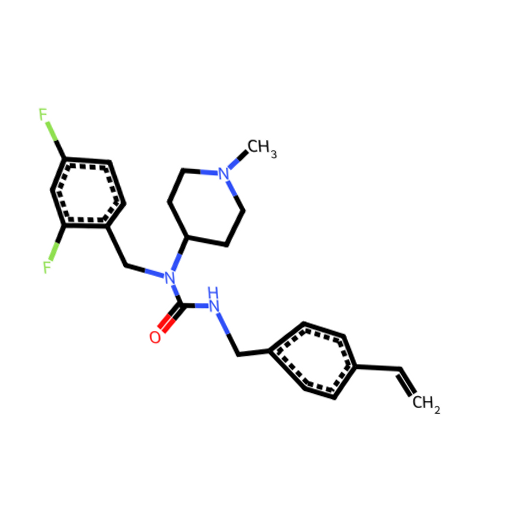 C=Cc1ccc(CNC(=O)N(Cc2ccc(F)cc2F)C2CCN(C)CC2)cc1